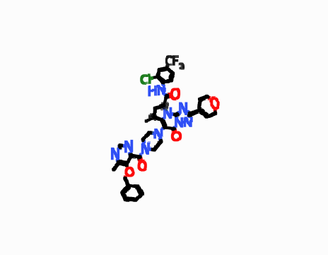 Cc1ncnc(C(=O)N2CCN(c3c4n(c5nc(C6=CCOCC6)nn5c3=O)[C@H](C(=O)Nc3ccc(C(F)(F)F)cc3Cl)C[C@@H]4C)CC2)c1OCc1ccccc1